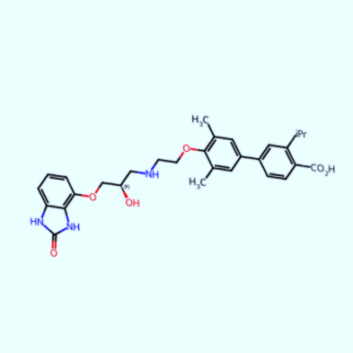 Cc1cc(-c2ccc(C(=O)O)c(C(C)C)c2)cc(C)c1OCCNC[C@@H](O)COc1cccc2[nH]c(=O)[nH]c12